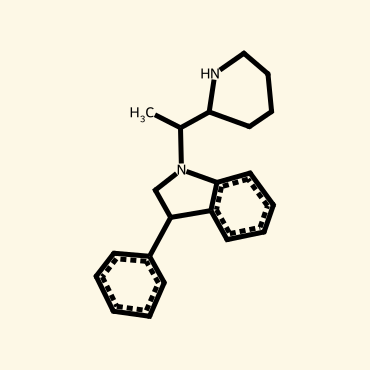 CC(C1CCCCN1)N1CC(c2ccccc2)c2ccccc21